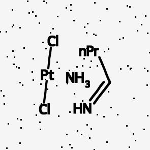 CCCC=N.N.[Cl][Pt][Cl]